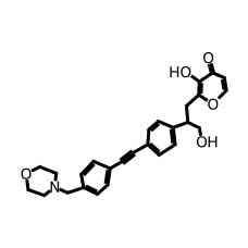 O=c1ccoc(CC(CO)c2ccc(C#Cc3ccc(CN4CCOCC4)cc3)cc2)c1O